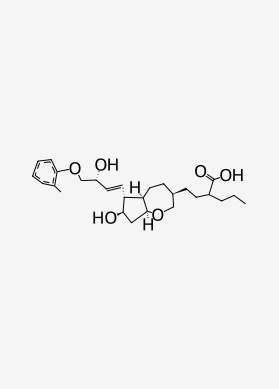 CCCC(CC[C@@H]1CC[C@@H]2[C@@H](/C=C/[C@@H](O)COc3ccccc3C)[C@H](O)C[C@@H]2OC1)C(=O)O